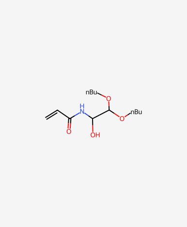 C=CC(=O)NC(O)C(OCCCC)OCCCC